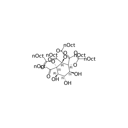 CCCCCCCCC(=O)O[C@@]1(C(=O)CCCCCCCC)[C@@](OC(=O)CCCCCCCC)(C(=O)CCCCCCCC)[C@@H](O)[C@H](O)[C@@H](O)[C@@]1(OC(=O)CCCCCCCC)C(=O)CCCCCCCC